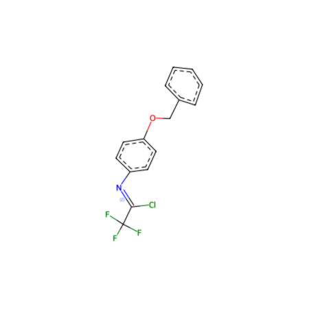 FC(F)(F)/C(Cl)=N/c1ccc(OCc2ccccc2)cc1